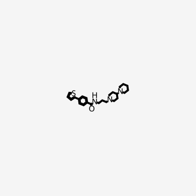 O=C(NCCCN1CCC(N2CCCCC2)CC1)c1ccc(-c2cccs2)cc1